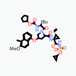 C=C[C@@H]1C[C@]1(NC(=O)C1CC(Oc2cccc3c(C)c(OC)ccc23)CN1C(=O)C(NC(=O)OC1CCCC1)C(C)(C)C)C(=O)NS(=O)(=O)OC1CC1